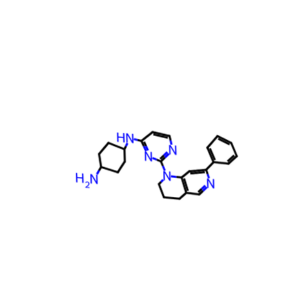 NC1CCC(Nc2ccnc(N3CCCc4cnc(-c5ccccc5)cc43)n2)CC1